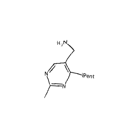 CCCC(C)c1nc(C)ncc1CN